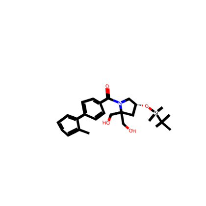 Cc1ccccc1-c1ccc(C(=O)N2C[C@H](O[Si](C)(C)C(C)(C)C)CC2(CO)CO)cc1